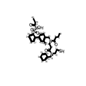 CCCC(=O)N(CCC(=O)N(CCS)Cc1ccccc1)Cc1ccc(-c2ccccc2S(=O)(=O)N(O)C(=O)CC)cc1F